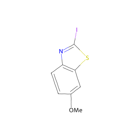 COc1ccc2nc(I)sc2c1